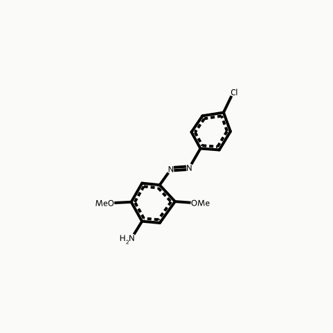 COc1cc(N=Nc2ccc(Cl)cc2)c(OC)cc1N